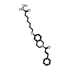 O=C(CCCCCCOc1ccc2c(c1)CCN(C(=O)/C=C/c1ccccc1)C2)NO